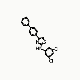 Clc1cc(Cl)cc(Nc2nc(-c3ccc(-c4ccccc4)cc3)cs2)c1